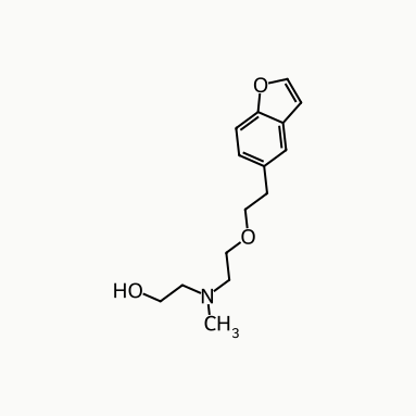 CN(CCO)CCOCCc1ccc2occc2c1